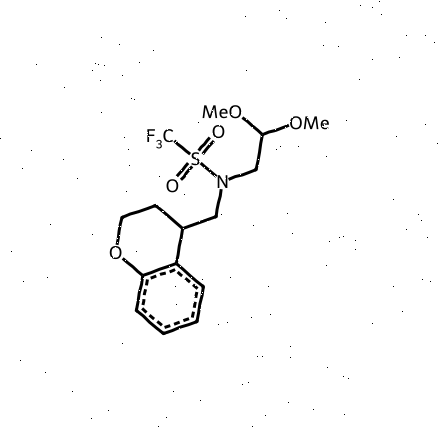 COC(CN(CC1CCOc2ccccc21)S(=O)(=O)C(F)(F)F)OC